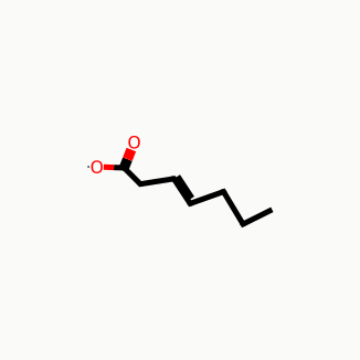 CCCC=CCC([O])=O